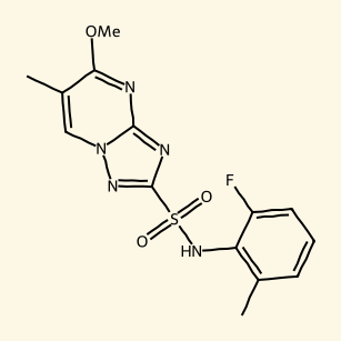 COc1nc2nc(S(=O)(=O)Nc3c(C)cccc3F)nn2cc1C